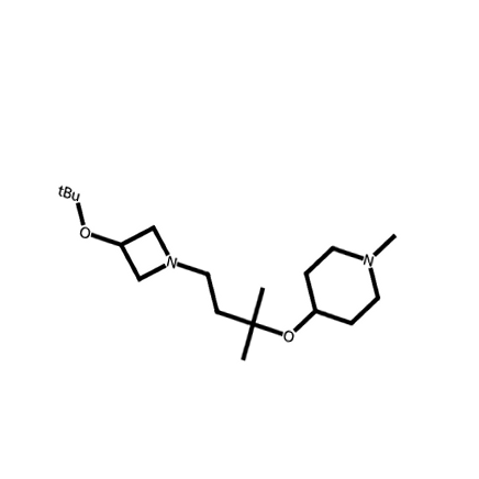 CN1CCC(OC(C)(C)CCN2CC(OC(C)(C)C)C2)CC1